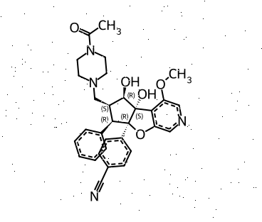 COc1cncc2c1[C@]1(O)[C@H](O)[C@H](CN3CCN(C(C)=O)CC3)[C@H](c3ccccc3)[C@]1(c1ccc(C#N)cc1)O2